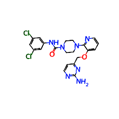 Nc1nccc(COc2cccnc2N2CCN(C(=O)Nc3cc(Cl)cc(Cl)c3)CC2)n1